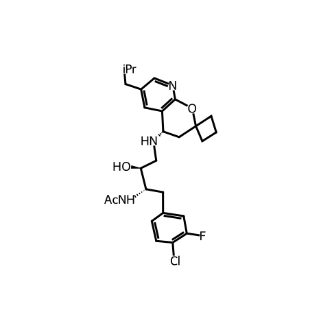 CC(=O)N[C@@H](Cc1ccc(Cl)c(F)c1)[C@@H](O)CN[C@H]1CC2(CCC2)Oc2ncc(CC(C)C)cc21